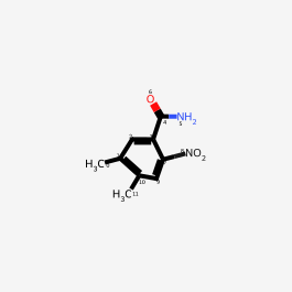 Cc1cc(C(N)=O)c([N+](=O)[O-])cc1C